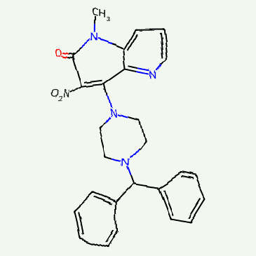 Cn1c(=O)c([N+](=O)[O-])c(N2CCN(C(c3ccccc3)c3ccccc3)CC2)c2ncccc21